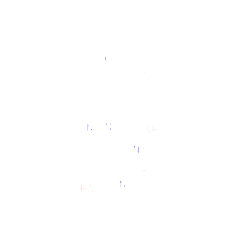 Cc1ccc(C)c(-n2ncc3c(O)ncnc32)c1